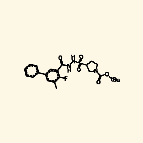 Cc1cc(-c2ccccc2)cc(C(=O)NNS(=O)(=O)C2CCN(C(=O)OC(C)(C)C)C2)c1F